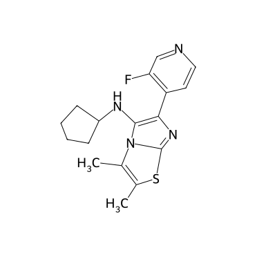 Cc1sc2nc(-c3ccncc3F)c(NC3CCCC3)n2c1C